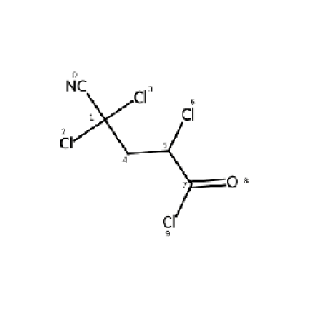 N#CC(Cl)(Cl)CC(Cl)C(=O)Cl